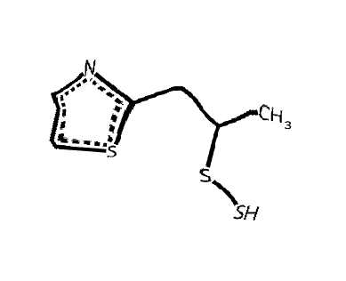 CC(Cc1nccs1)SS